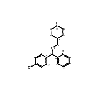 Clc1ccc(C(OCC2CCNCC2)c2ccccn2)cc1